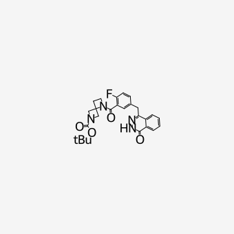 CC(C)(C)OC(=O)N1CC2(CCN2C(=O)c2cc(Cc3n[nH]c(=O)c4ccccc34)ccc2F)C1